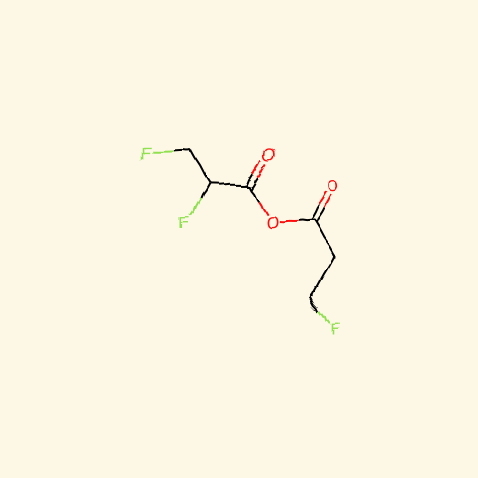 O=C(CCF)OC(=O)C(F)CF